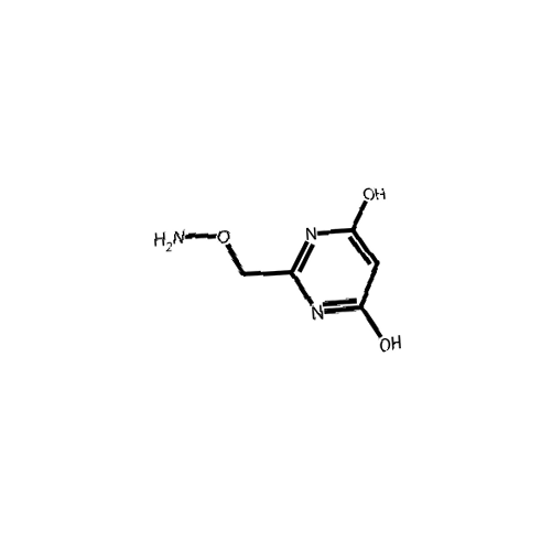 NOCc1nc(O)cc(O)n1